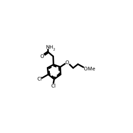 COCCOc1cc(Cl)c(Cl)cc1CC(N)=O